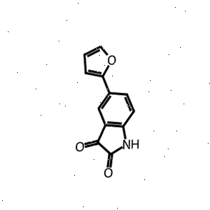 O=C1Nc2ccc(-c3ccco3)cc2C1=O